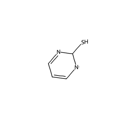 SC1[N]C=CC=N1